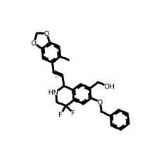 Cc1cc2c(cc1/C=C/C1NCC(F)(F)c3cc(OCc4ccccc4)c(CO)cc31)OCO2